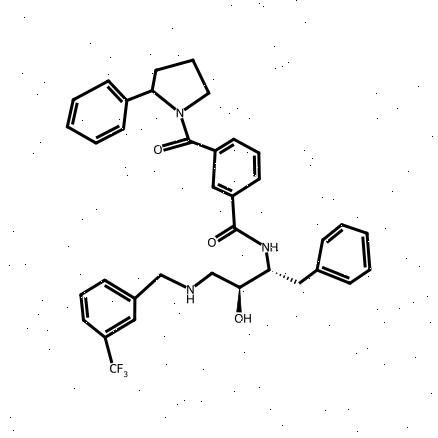 O=C(N[C@H](Cc1ccccc1)[C@@H](O)CNCc1cccc(C(F)(F)F)c1)c1cccc(C(=O)N2CCCC2c2ccccc2)c1